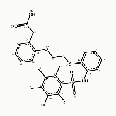 Cc1c(C)c(C)c(S(=O)(=O)Nc2ccccc2OCCOc2ccccc2CC(=O)O)c(C)c1C